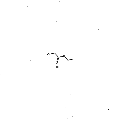 CCOC(=O)CCl.F